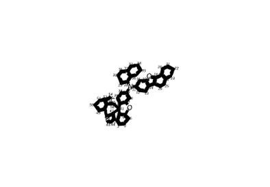 c1ccc2c(c1)Oc1cc(N(c3ccc4c(c3)oc3c5ccccc5ccc43)c3cccc4ccccc34)ccc1C21c2ccccc2-c2cccc3cccc1c23